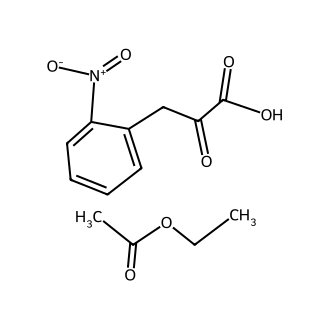 CCOC(C)=O.O=C(O)C(=O)Cc1ccccc1[N+](=O)[O-]